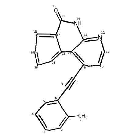 Cc1ccccc1C#Cc1ccnc2[nH]c(=O)c3ccccc3c12